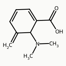 C=C1C=CC=C(C(=O)O)C1N(C)C